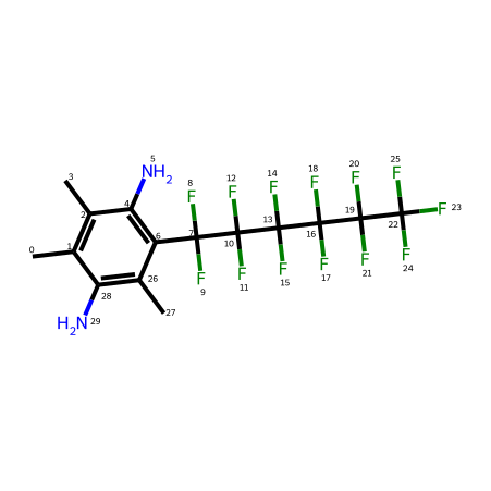 Cc1c(C)c(N)c(C(F)(F)C(F)(F)C(F)(F)C(F)(F)C(F)(F)C(F)(F)F)c(C)c1N